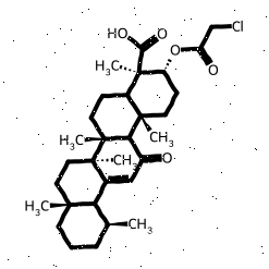 C[C@H]1CCC[C@]2(C)CC[C@]3(C)C(=CC(=O)C4[C@@]5(C)CC[C@@H](OC(=O)CCl)[C@](C)(C(=O)O)C5CC[C@]43C)C12